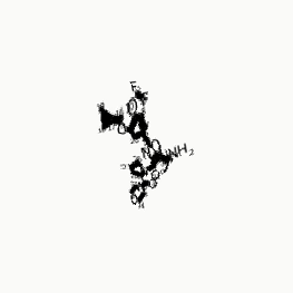 C[C@H](N)c1oc(-c2ccc(OC(F)F)c(OCC3CC3)c2)nc1C(=O)N1CCC[C@H]1C(=O)N1CCOCC1